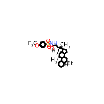 CC[C@H]1CC2C3CC[C@H]([C@H](C)CCC(=O)NS(=O)(=O)c4ccc(OC(F)(F)F)cc4)[C@@]3(C)CCC2[C@@]2(C)CCCC[C@@H]12